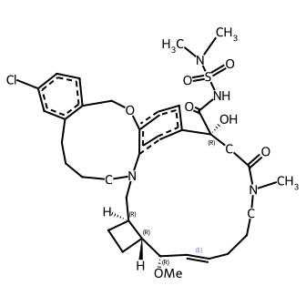 CO[C@H]1/C=C/CCCN(C)C(=O)C[C@](O)(C(=O)NS(=O)(=O)N(C)C)c2ccc3c(c2)N(CCCCc2cc(Cl)ccc2CO3)C[C@@H]2CC[C@H]21